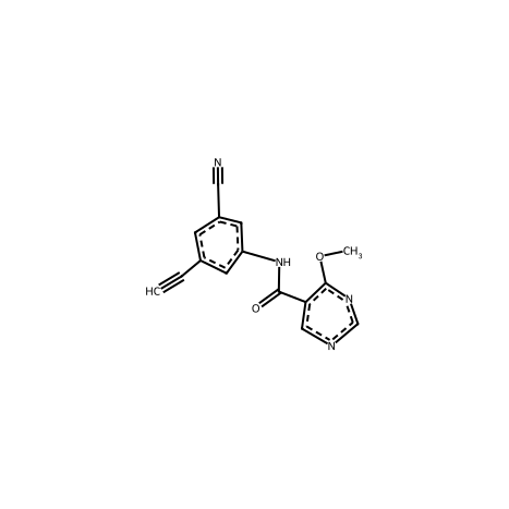 C#Cc1cc(C#N)cc(NC(=O)c2cncnc2OC)c1